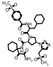 CS(=O)(=O)Cc1cnnn1[C@H]1C[C@@H](C(=O)NC2(C(=O)C(N)=O)CCCCC2)N(C(=O)C(CC2CCCCC2)NC(=O)c2ccc(S(C)(=O)=O)cc2)C1